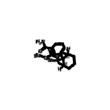 COC1(c2cccc(C(N)=O)c2)[C@@H]2CCC[C@H]1CN(C(=O)OC(C)(C)C)C2